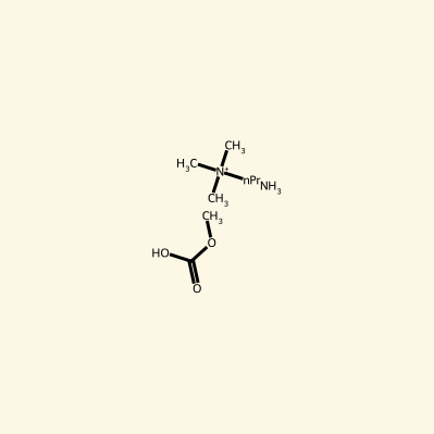 CCC[N+](C)(C)C.COC(=O)O.N